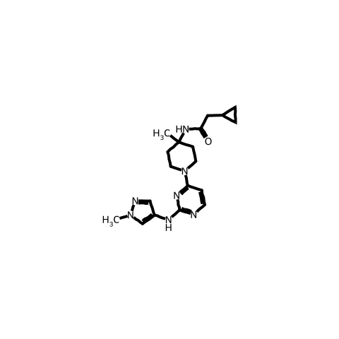 Cn1cc(Nc2nccc(N3CCC(C)(NC(=O)CC4CC4)CC3)n2)cn1